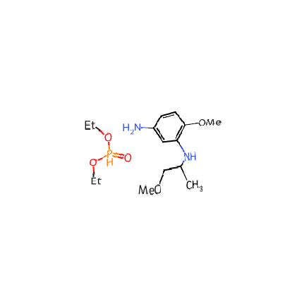 CCO[PH](=O)OCC.COCC(C)Nc1cc(N)ccc1OC